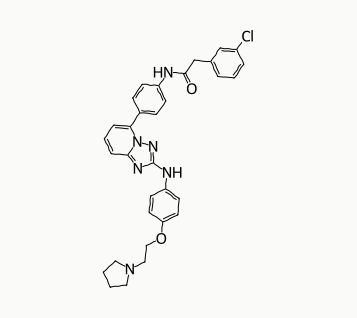 O=C(Cc1cccc(Cl)c1)Nc1ccc(-c2cccc3nc(Nc4ccc(OCCN5CCCC5)cc4)nn23)cc1